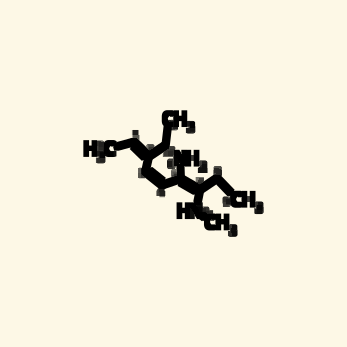 C\C=C(/C=C\C(N)=C(\CC)NC)CC